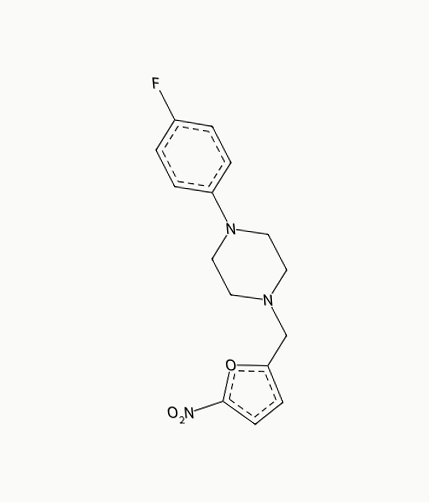 O=[N+]([O-])c1ccc(CN2CCN(c3ccc(F)cc3)CC2)o1